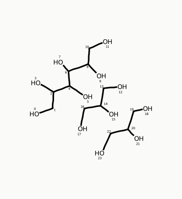 OCC(O)C(O)C(O)C(O)CO.OCC(O)CO.OCC(O)CO